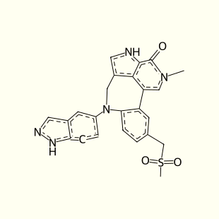 Cn1cc2c3c(c[nH]c3c1=O)CN(c1ccc3[nH]ncc3c1)c1ccc(CS(C)(=O)=O)cc1-2